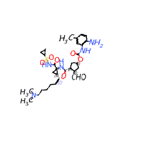 Cc1ccc(N)c(NC(=O)O[C@H]2C[C@@H](C=O)[C@H](C(=O)N[C@]3(C(=O)NS(=O)(=O)C4CC4)C[C@H]3/C=C\CCCCN(C)C)C2)c1